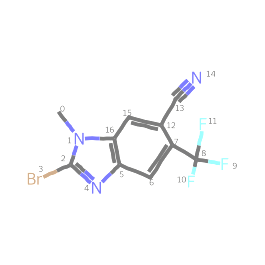 Cn1c(Br)nc2cc(C(F)(F)F)c(C#N)cc21